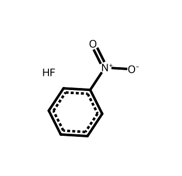 F.O=[N+]([O-])c1ccccc1